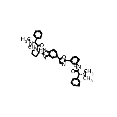 CN(C)[C@@H](C(=O)Nc1cccc(-c2ncc(-c3ccc4[nH]c([C@@H]5CCCN5C(=O)[C@@H](c5ccccc5)N(C)C)nc4c3)o2)c1)c1ccccc1